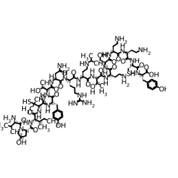 CC[C@H](C)[C@H](NC(=O)[C@@H]1C[C@@H](O)CN1C(=O)[C@@H](N)C(C)C)C(=O)N[C@H](C(=O)N[C@@H](Cc1ccc(O)cc1)C(=O)N[C@H](C(=O)N[C@@H](CC(N)=O)C(=O)N[C@@H](CCCNC(=N)N)C(=O)N[C@@H](CCNC(C)C)C(=O)N[C@H](C(=O)N[C@H](CCN)C(=O)N[C@@H](CO)C(=O)N[C@@H](CCN)C(=O)N[C@@H](CCN)C(=O)N[C@@H](CS)C(=O)N[C@@H](Cc1ccc(O)cc1)C(=O)O)[C@@H](C)O)[C@@H](C)O)C(C)(C)S